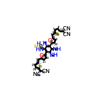 N#CC(C#N)=c1cc/c(=C/c2ccc(C3=C(N)C(NS)=C(c4ccc(/C=c5/ccc(=C(C#N)C#N)s5)o4)C(=N)C3=N)o2)s1